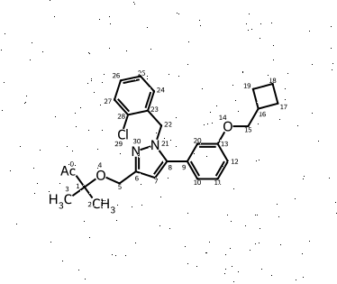 CC(=O)C(C)(C)OCc1cc(-c2cccc(OCC3CCC3)c2)n(Cc2ccccc2Cl)n1